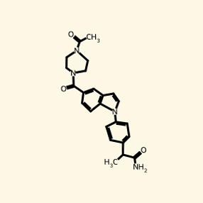 CC(=O)N1CCN(C(=O)c2ccc3c(ccn3-c3ccc(C(C)C(N)=O)cc3)c2)CC1